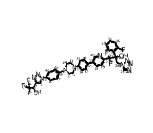 OC(c1cn(-c2ccc(N3CCN(c4ccc(-c5ccc(C(F)(F)C(O)(Cn6cnnn6)c6ccccc6F)nc5)cc4)CC3)cc2)nn1)C(F)(F)F